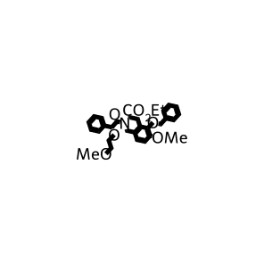 CCOC(=O)[C@@H]1Cc2c(ccc(OC)c2OCc2ccccc2)CN1C(=O)C(OCCOC)c1ccccc1